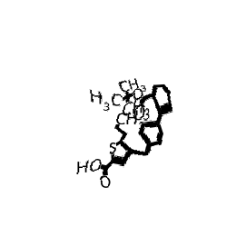 CCCc1sc(C(=O)O)cc1Cc1ccc(-c2ccccc2C(=O)OC(C)(C)C)cc1